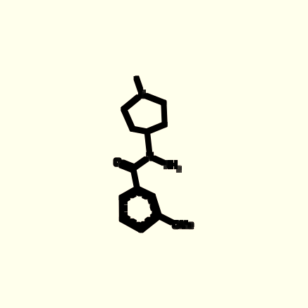 COc1cccc(C(=O)N(N)C2CCN(C)CC2)c1